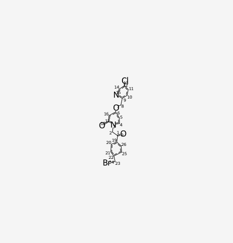 O=C(Cn1ccc(OCc2ccc(Cl)cn2)cc1=O)c1ccc(CBr)cc1